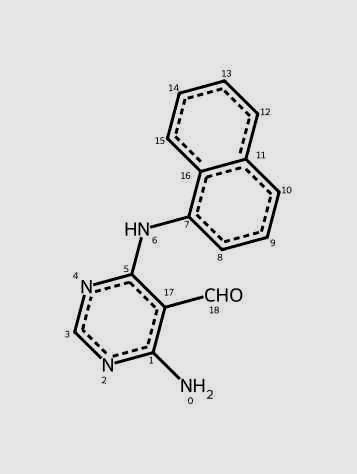 Nc1ncnc(Nc2cccc3ccccc23)c1C=O